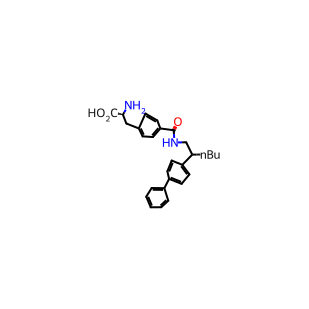 CCCCC(CNC(=O)c1ccc(C[C@H](N)C(=O)O)cc1)c1ccc(-c2ccccc2)cc1